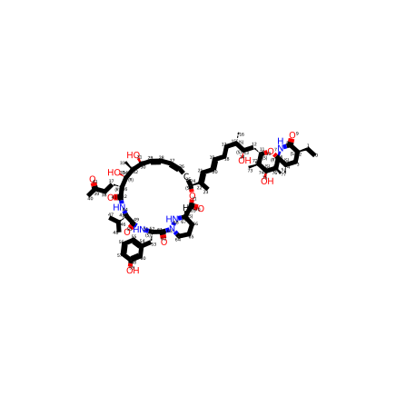 CC[C@H]1C[C@H](C)[C@@]2(NC1=O)O[C@@H](C[C@H](O)[C@@H](C)CCC=CC=C(C)[C@@H]1CC=CC=C[C@H](O)[C@H](C)[C@@H](O)[C@@H](CCC(C)=O)C(=O)N[C@@H](C(C)C)C(=O)N[C@@H](Cc3cccc(O)c3)C(=O)N3CCC[C@H](N3)C(=O)O1)[C@H](C)[C@H](O)[C@@H]2C